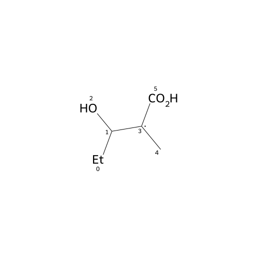 CCC(O)[C](C)C(=O)O